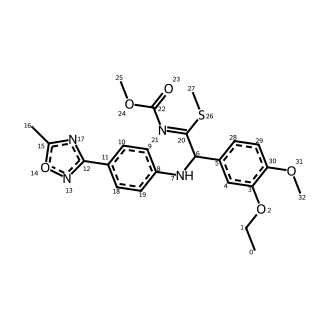 CCOc1cc(C(Nc2ccc(-c3noc(C)n3)cc2)C(=NC(=O)OC)SC)ccc1OC